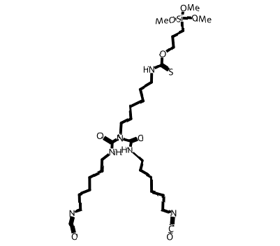 CO[Si](CCCOC(=S)NCCCCCCN(C(=O)NCCCCCCN=C=O)C(=O)NCCCCCCN=C=O)(OC)OC